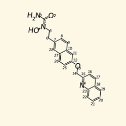 NC(=O)N(O)CCc1ccc2cc(OCc3ccc4ccccc4n3)ccc2c1